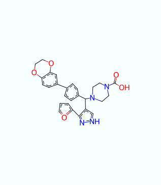 O=C(O)N1CCN(C(c2ccc(-c3ccc4c(c3)OCCO4)cc2)c2c[nH]nc2-c2ccco2)CC1